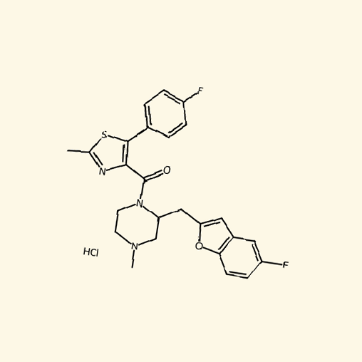 Cc1nc(C(=O)N2CCN(C)CC2Cc2cc3cc(F)ccc3o2)c(-c2ccc(F)cc2)s1.Cl